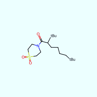 CC(C)(C)CCCCC(C(=O)N1CCS(=O)(=O)CC1)C(C)(C)C